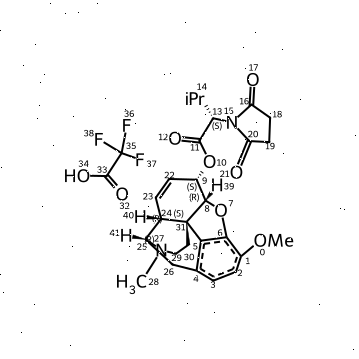 COc1ccc2c3c1O[C@H]1[C@@H](OC(=O)[C@H](C(C)C)N4C(=O)CCC4=O)C=C[C@H]4[C@@H](C2)N(C)CC[C@@]341.O=C(O)C(F)(F)F